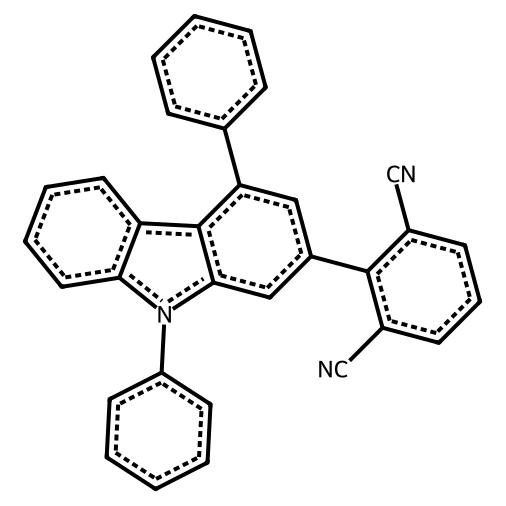 N#Cc1cccc(C#N)c1-c1cc(-c2ccccc2)c2c3ccccc3n(-c3ccccc3)c2c1